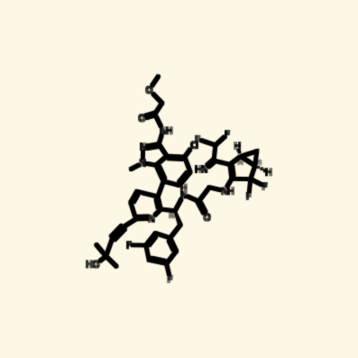 COCC(=O)Nc1nn(C)c2c(-c3ccc(C#CC(C)(C)O)nc3[C@H](Cc3cc(F)cc(F)c3)NC(=O)CNC3=C(C(=N)C(F)F)[C@H]4C[C@H]4C3(F)F)ccc(Cl)c12